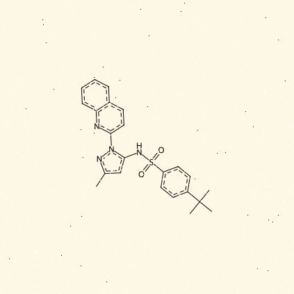 Cc1cc(NS(=O)(=O)c2ccc(C(C)(C)C)cc2)n(-c2ccc3ccccc3n2)n1